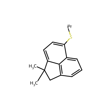 CC(C)Sc1ccc2c3c(cccc13)CC2(C)C